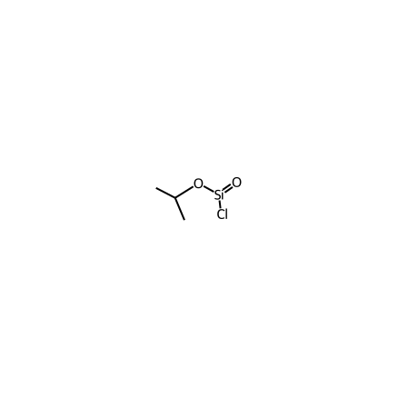 CC(C)O[Si](=O)Cl